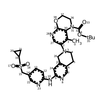 Cc1c(N2CCc3cnc(Nc4ccc(CS(=O)(=O)C5CC5)cn4)cc3C2)cnc2c1N(C(=O)OC(C)(C)C)CCO2